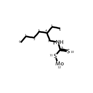 CCCCC(CC)CNC(=S)[S][Mo]